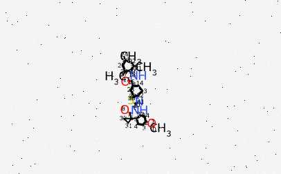 COc1ccc(C2(C(=O)Nc3nc4ccc(C(=O)Nc5c(C)cc(C)cc5C)cc4s3)CC2)cc1